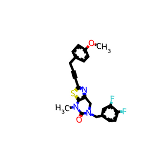 COc1ccc(CC#Cc2nc3c(s2)N(C)C(=O)N(Cc2ccc(F)c(F)c2)C3)cc1